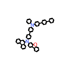 c1ccc(-c2ccc(-c3ccc(N(c4ccccc4)c4ccc(-c5ccc(N(c6ccc7c(c6)oc6ccccc67)c6cc7ccccc7c7ccccc67)cc5)cc4)cc3)cc2)cc1